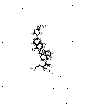 CC(CC(F)(F)F)C(=O)N1CCC(O)(Cn2ccc3nc(N4CCN(C(=O)O)CC4)ncc3c2=O)C2(CCCC2)C1